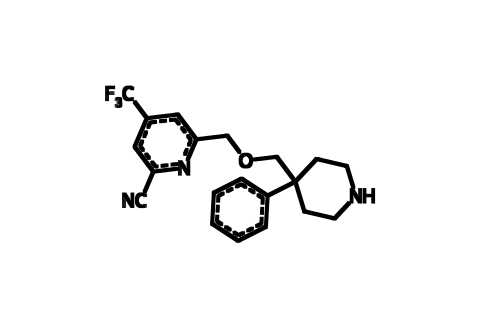 N#Cc1cc(C(F)(F)F)cc(COCC2(c3ccccc3)CCNCC2)n1